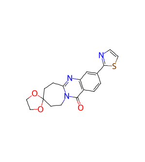 O=c1c2ccc(-c3nccs3)cc2nc2n1CCC1(CC2)OCCO1